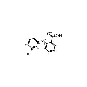 O=C(O)c1ccccc1Sc1cccc(F)c1